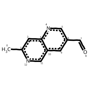 Cc1cc2ncc(C=O)cc2cn1